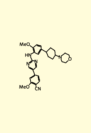 COc1cc(-c2cnc(Nc3cc(C4CCC(N5CCOCC5)CC4)ccc3OC)nc2)ccc1C#N